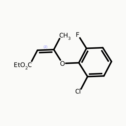 CCOC(=O)/C=C(/C)Oc1c(F)cccc1Cl